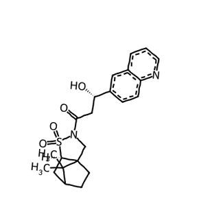 CC1(C)C2CCC13CN(C(=O)C[C@H](O)c1ccc4ncccc4c1)S(=O)(=O)[C@@H]3C2